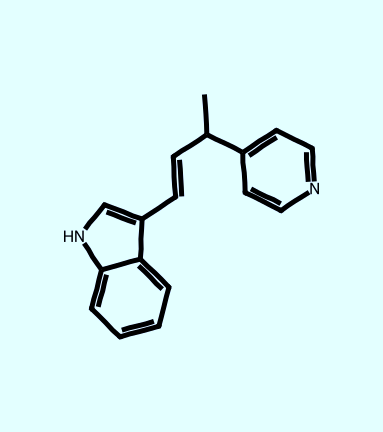 CC(/C=C/c1c[nH]c2ccccc12)c1ccncc1